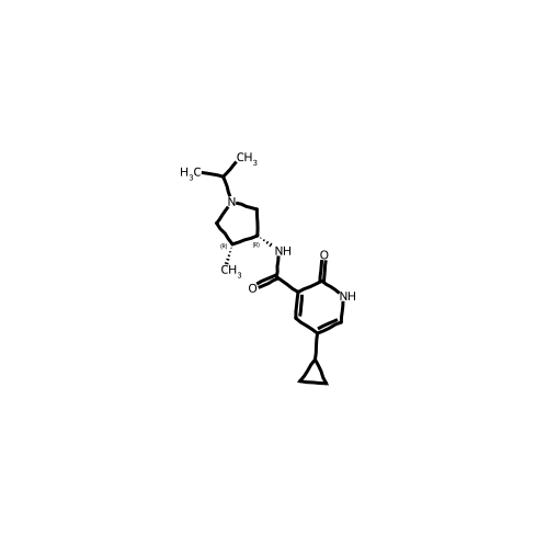 CC(C)N1C[C@@H](C)[C@@H](NC(=O)c2cc(C3CC3)c[nH]c2=O)C1